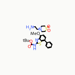 COc1ccc(-c2ccccc2)c2sc(NC(=O)OC(C)(C)C)nc12.NCCN1CCS(=O)(=O)CC1